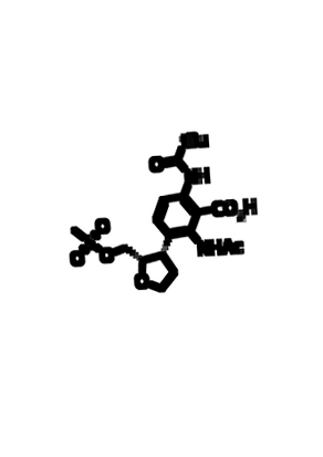 CC(=O)Nc1c([C@@H]2CCO[C@@H]2COS(C)(=O)=O)ccc(NC(=O)C(C)(C)C)c1C(=O)O